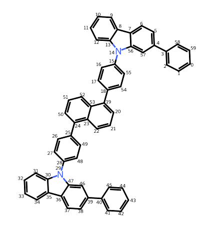 c1ccc(-c2ccc3c4ccccc4n(-c4ccc(-c5cccc6c(-c7ccc(-n8c9ccccc9c9ccc(-c%10ccccc%10)cc98)cc7)cccc56)cc4)c3c2)cc1